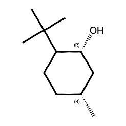 C[C@@H]1CCC(C(C)(C)C)[C@H](O)C1